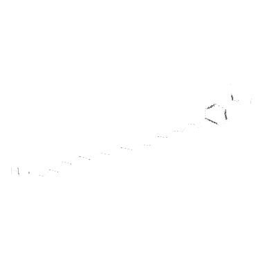 CCCCCCCCCCCCCCCCCCCOc1ccc(C(=O)O)cc1